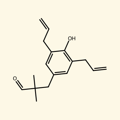 C=CCc1cc(CC(C)(C)C=O)cc(CC=C)c1O